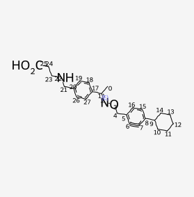 C/C(=N\OCc1c#cc(C2CCCCC2)cc1)c1ccc(CNCCC(=O)O)cc1